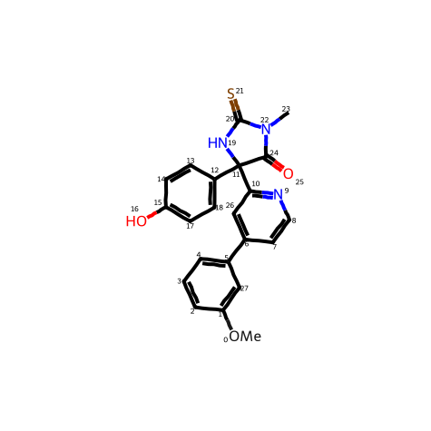 COc1cccc(-c2ccnc(C3(c4ccc(O)cc4)NC(=S)N(C)C3=O)c2)c1